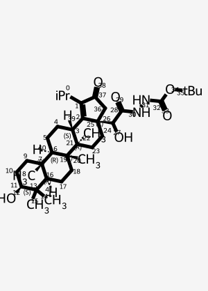 CC(C)C1=C2[C@H]3CC[C@@H]4[C@@]5(C)CC[C@H](O)C(C)(C)[C@@H]5CC[C@@]4(C)[C@]3(C)CC[C@@]2(C(O)C(=O)NNC(=O)OC(C)(C)C)CC1=O